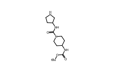 CC(C)(C)OC(=O)NC1CCN(C(=O)NC2CCNC2)CC1